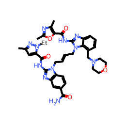 CCn1nc(C)cc1C(=O)Nc1nc2cc(C(N)=O)ccc2n1C/C=C/Cn1c(NC(=O)c2oc(C)nc2C)nc2cccc(CN3CCOCC3)c21